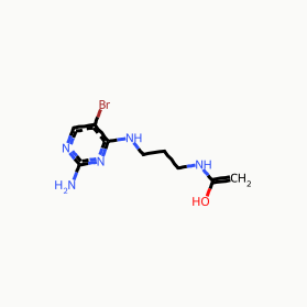 C=C(O)NCCCNc1nc(N)ncc1Br